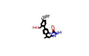 COc1ccc(-c2ccc3c(C)cc4n[nH]c(=O)n4c3c2)c(CO)c1